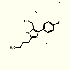 CCCCc1nc(-c2ccc(F)cc2)c(CO)[nH]1